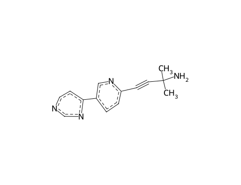 CC(C)(N)C#Cc1ccc(-c2ccncn2)cn1